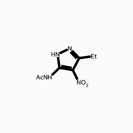 CCc1n[nH]c(NC(C)=O)c1[N+](=O)[O-]